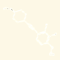 CCCCC[C@H]1CC[C@H](C#Cc2ccc(OCCCC)c(F)c2F)CC1